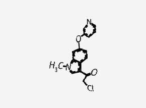 Cn1cc(C(=O)CCl)c2ccc(Oc3cccnc3)cc21